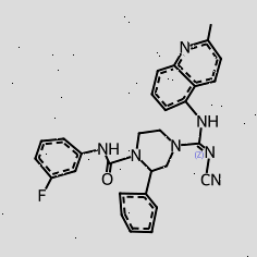 Cc1ccc2c(N/C(=N/C#N)N3CCN(C(=O)Nc4cccc(F)c4)C(c4ccccc4)C3)cccc2n1